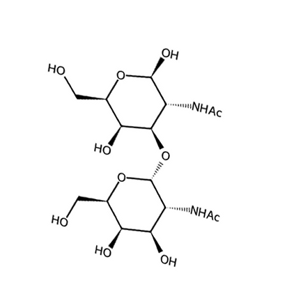 CC(=O)N[C@@H]1[C@@H](O[C@H]2O[C@H](CO)[C@H](O)[C@H](O)[C@H]2NC(C)=O)[C@@H](O)[C@@H](CO)O[C@H]1O